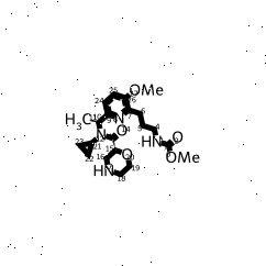 COC(=O)NCCCc1nc([C@@H](C)N(C(=O)[C@H]2CNCCO2)C2CC2)ccc1OC